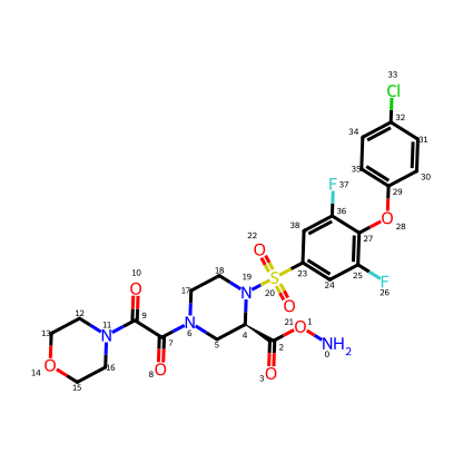 NOC(=O)[C@H]1CN(C(=O)C(=O)N2CCOCC2)CCN1S(=O)(=O)c1cc(F)c(Oc2ccc(Cl)cc2)c(F)c1